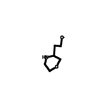 [O]CCC1COCCN1